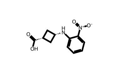 O=C(O)[C@H]1C[C@@H](Nc2ccccc2[N+](=O)[O-])C1